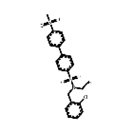 CC(C)CN(Cc1ccccc1Cl)S(=O)(=O)c1ccc(-c2ccc(S(C)(=O)=O)cc2)cc1